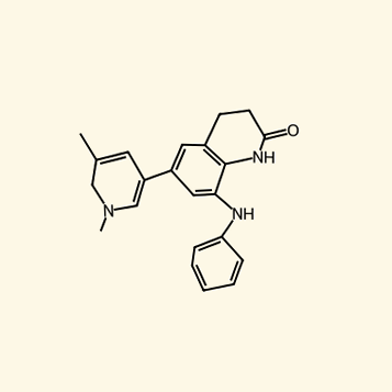 CC1=CC(c2cc3c(c(Nc4ccccc4)c2)NC(=O)CC3)=CN(C)C1